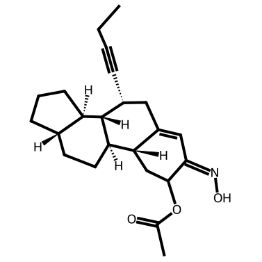 CCC#C[C@@H]1CC2=CC(=NO)C(OC(C)=O)C[C@@H]2[C@H]2CC[C@@H]3CCC[C@H]3[C@@H]21